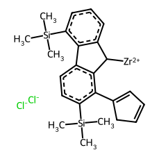 C[Si](C)(C)c1ccc2c(c1C1=CC=CC1)[CH]([Zr+2])c1cccc([Si](C)(C)C)c1-2.[Cl-].[Cl-]